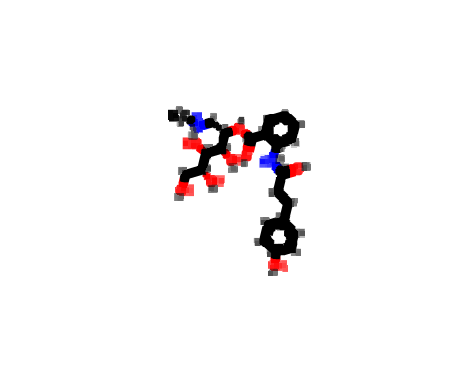 CNC[C@H](OC(=O)c1ccccc1NC(=O)CCc1ccc(O)cc1)[C@@H](O)[C@H](O)[C@H](O)CO